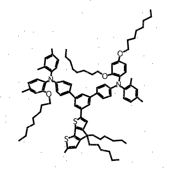 CCCCCCCCOc1ccc(N(c2ccc(-c3cc(-c4ccc(N(c5ccc(C)cc5C)c5ccc(C)cc5OCCCCCCCC)cc4)cc(-c4cc5c(s4)-c4sc(C)cc4C5(CCCCCC)CCCCCC)c3)cc2)c2ccc(C)cc2C)c(OCCCCCCCC)c1